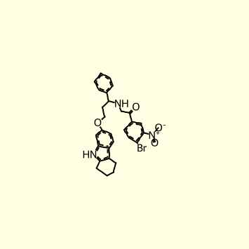 O=C(CNC(CCOc1ccc2c3c([nH]c2c1)CCCC3)c1ccccc1)c1ccc(Br)c([N+](=O)[O-])c1